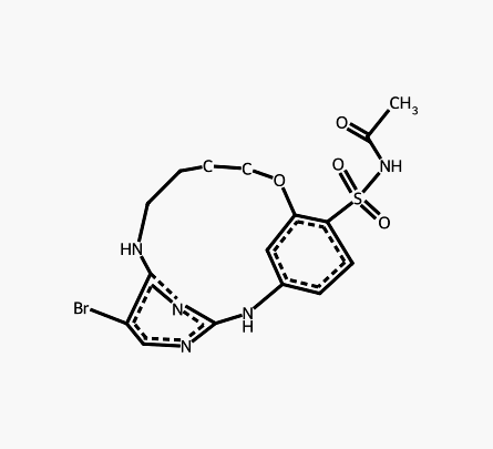 CC(=O)NS(=O)(=O)c1ccc2cc1OCCCCNc1nc(ncc1Br)N2